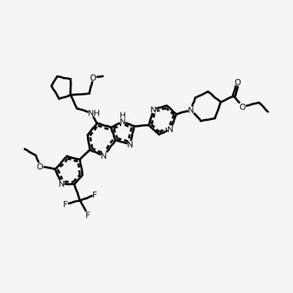 CCOC(=O)C1CCN(c2cnc(-c3nc4nc(-c5cc(OCC)nc(C(F)(F)F)c5)cc(NCC5(COC)CCCC5)c4[nH]3)cn2)CC1